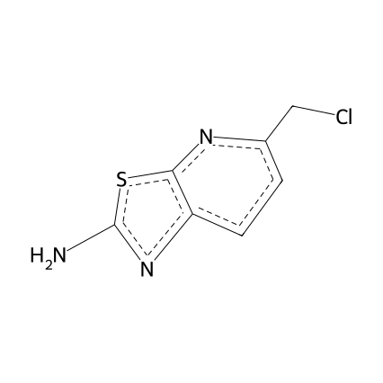 Nc1nc2ccc(CCl)nc2s1